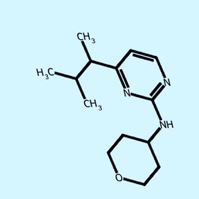 CC(C)C(C)c1ccnc(NC2CCOCC2)n1